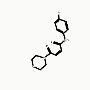 O=C(/C=C\C(=O)N1CCOCC1)Nc1ccc(Cl)cc1